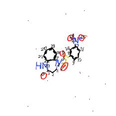 O=C1CCN(S(=O)(=O)c2cccc([N+](=O)[O-])c2)c2ccccc2N1